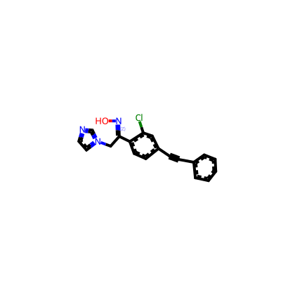 O/N=C(\Cn1ccnc1)c1ccc(C#Cc2ccccc2)cc1Cl